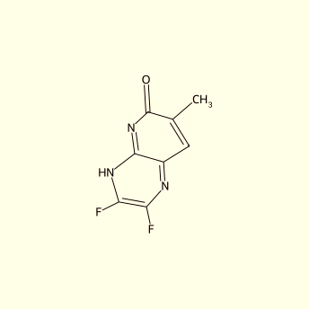 Cc1cc2nc(F)c(F)[nH]c-2nc1=O